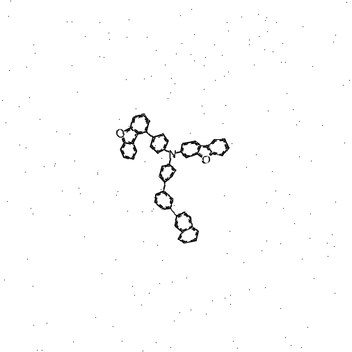 c1cc(-c2ccc(N(c3ccc(-c4cccc5oc6ccccc6c45)cc3)c3ccc4c(c3)oc3ccccc34)cc2)cc(-c2ccc3ccccc3c2)c1